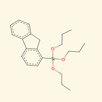 CCCO[Si](OCCC)(OCCC)c1cccc2c1Cc1ccccc1-2